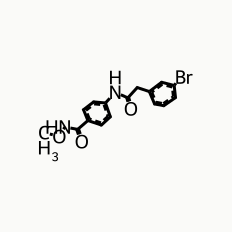 CONC(=O)c1ccc(NC(=O)Cc2cccc(Br)c2)cc1